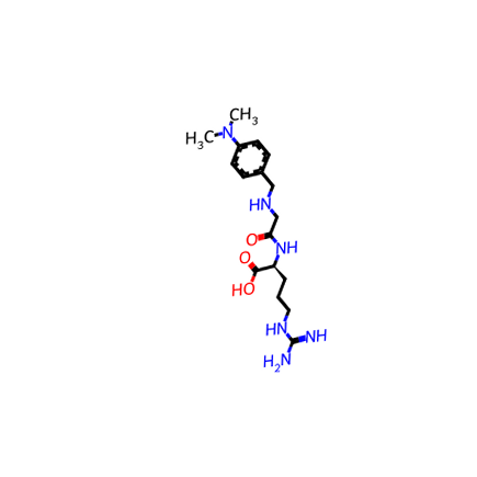 CN(C)c1ccc(CNCC(=O)N[C@@H](CCCNC(=N)N)C(=O)O)cc1